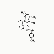 Cc1ccc(NC(=O)/C=C/c2c(C#N)c3c(C)cc(C)nc3n2[C@H]2CCCc3ccccc32)cc1